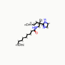 CCCCCCCCCCCCCCCCCC(=O)NCC(CC)(CCCCCCCCCCCC)C1=NCCN1